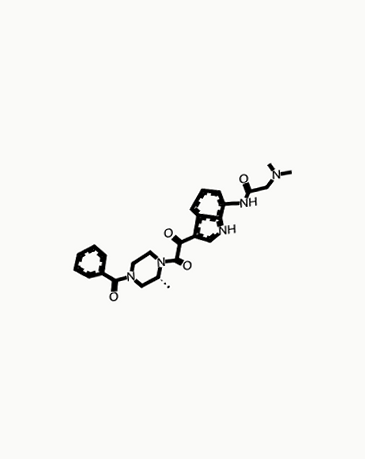 C[C@@H]1CN(C(=O)c2ccccc2)CCN1C(=O)C(=O)c1c[nH]c2c(NC(=O)CN(C)C)cccc12